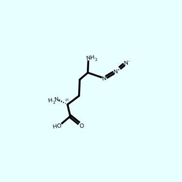 [N-]=[N+]=NC(N)CC[C@@H](N)C(=O)O